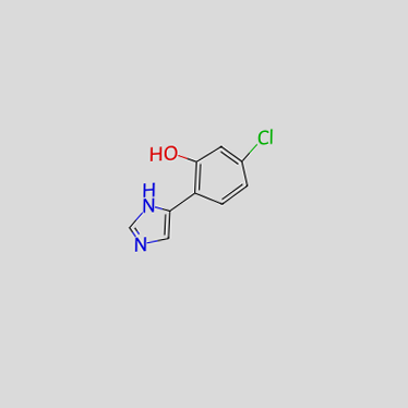 Oc1cc(Cl)ccc1-c1cnc[nH]1